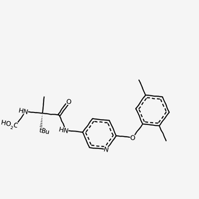 Cc1ccc(C)c(Oc2ccc(NC(=O)[C@](C)(NC(=O)O)C(C)(C)C)cn2)c1